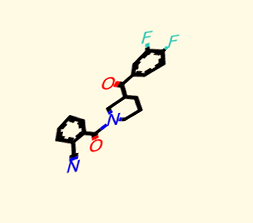 N#Cc1ccccc1C(=O)N1CCCC(C(=O)c2ccc(F)c(F)c2)C1